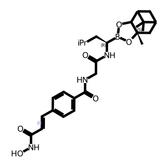 CC(C)C[C@H](NC(=O)CNC(=O)c1ccc(/C=C/C(=O)NO)cc1)B1OC2C3CC(C[C@]2(C)O1)C3(C)C